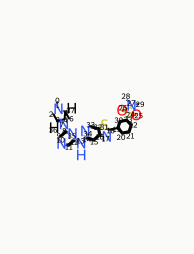 CN1C[C@@H]2C[C@H]1CN2c1cncc(Nc2cc3nc(-c4cccc(S(=O)(=O)N(C)C)c4)sc3cn2)n1